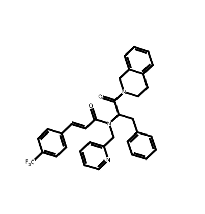 O=C(C(Cc1ccccc1)N(Cc1ccccn1)C(=O)C=Cc1ccc(C(F)(F)F)cc1)N1CCc2ccccc2C1